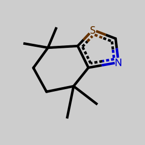 CC1(C)CCC(C)(C)c2scnc21